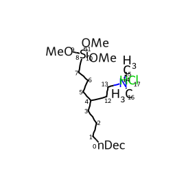 CCCCCCCCCCCCCC(CCC[Si](OC)(OC)OC)CCN(C)C.Cl